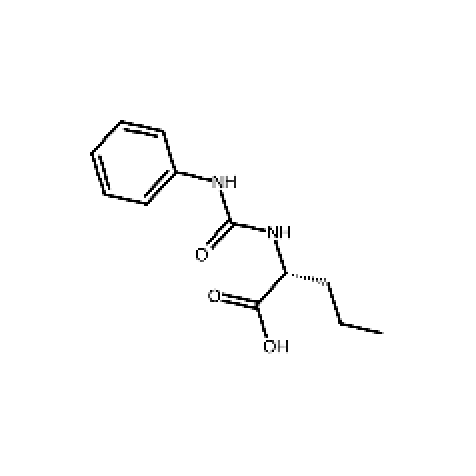 CCC[C@@H](NC(=O)Nc1ccccc1)C(=O)O